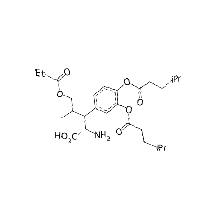 CCC(=O)OCC(C)C(c1ccc(OC(=O)CCC(C)C)c(OC(=O)CCC(C)C)c1)[C@H](N)C(=O)O